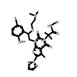 COc1ccc(F)cc1C(Cn1c(=O)n(C(C)(C)C(=O)NC(C)C)c(=O)c2c(C)c(-n3nccn3)sc21)OCCN(C)C